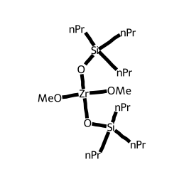 CCC[Si](CCC)(CCC)[O][Zr]([O]C)([O]C)[O][Si](CCC)(CCC)CCC